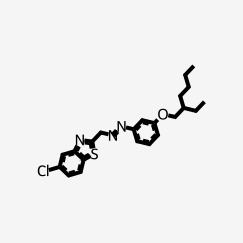 CCCCC(CC)COc1cccc(N=NCc2nc3cc(Cl)ccc3s2)c1